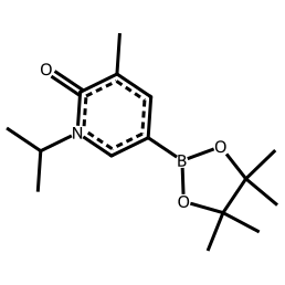 Cc1cc(B2OC(C)(C)C(C)(C)O2)cn(C(C)C)c1=O